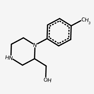 Cc1ccc(N2CCNCC2CO)cc1